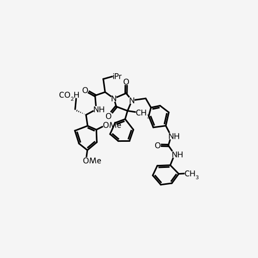 COc1ccc([C@H](CC(=O)O)NC(=O)C(CC(C)C)N2C(=O)N(Cc3ccc(NC(=O)Nc4ccccc4C)cc3)C(C)(c3ccccc3)C2=O)c(OC)c1